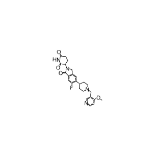 COc1ccncc1CN1CCC(c2cc3c(cc2F)C(=O)N(C2CCC(=O)NC2=O)C3)CC1